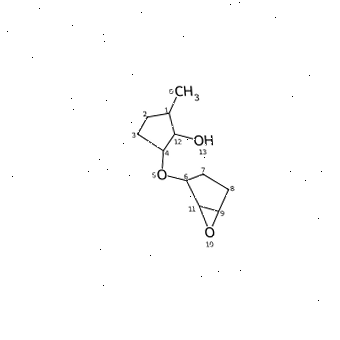 CC1CCC(OC2CCC3OC23)C1O